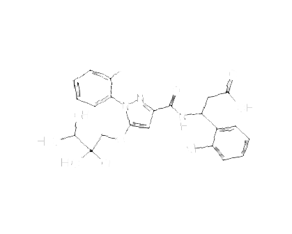 CC(C)C(C)(O)COc1cc(C(=O)NC(CC(=O)O)c2ccccc2Cl)nn1-c1ccccc1F